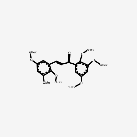 CCCCCCOc1cc(C=CC(=O)c2cc(OCCCCCC)cc(OCCCCCC)c2OCCCCCC)c(OCCCCCC)c(OC)c1